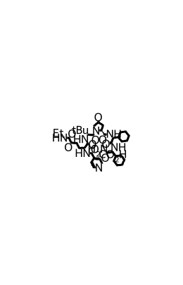 CCNC(=O)C(=O)CCC(NC(=O)c1ccncc1C(=O)O)C(=O)NC(C(=O)N1CC(=O)C[C@H]1C(=O)NC(C(=O)NC(C(N)=O)C1CCCCC1)C1CCCCC1)C(C)(C)C